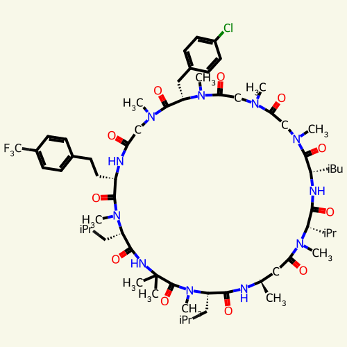 CCC(C)[C@@H]1NC(=O)[C@H](C(C)C)N(C)C(=O)C[C@@H](C)NC(=O)[C@H](CC(C)C)N(C)C(=O)C(C)(C)NC(=O)[C@H](CC(C)C)N(C)C(=O)[C@H](CCc2ccc(C(F)(F)F)cc2)NC(=O)CN(C)C(=O)[C@H](Cc2ccc(Cl)cc2)N(C)C(=O)CN(C)C(=O)CN(C)C1=O